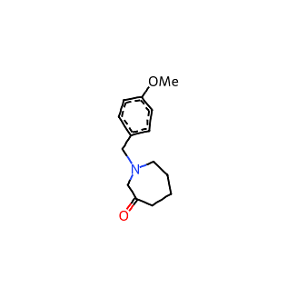 COc1ccc(CN2CCCCC(=O)C2)cc1